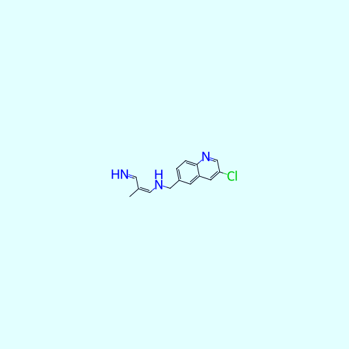 C/C(C=N)=C/NCc1ccc2ncc(Cl)cc2c1